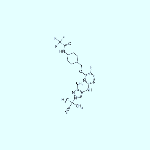 Cc1nn(C(C)(C)C#N)cc1Nc1ncc(F)c(OCC2CCC(NC(=O)C(F)(F)F)CC2)n1